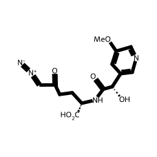 COc1cncc([C@H](O)C(=O)N[C@@H](CCC(=O)C=[N+]=[N-])C(=O)O)c1